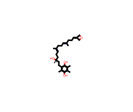 C/C(=C\CC/C(C)=C/CC[C@@](C)(O)CCc1c(C)c(O)c(C)c(C)c1O)CCC=C1COC1